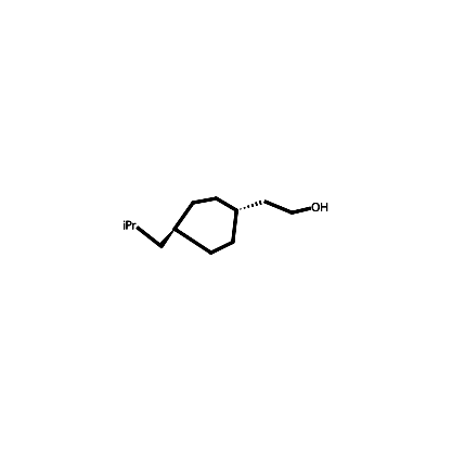 CC(C)C[C@H]1CC[C@H](CCO)CC1